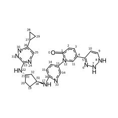 O=c1ccc(C2=NNNC=C2)cn1-c1ccc(N[C@H]2CC[C@H](Nc3ncc(C4CC4)nn3)C2)nc1